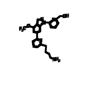 NCCCCc1cccc(-c2cc(OC(F)(F)F)c3cnn(-c4cccc(CO)n4)c3c2)n1